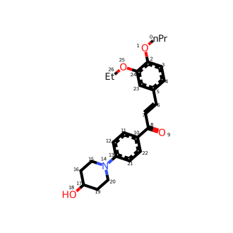 CCCOc1ccc(/C=C/C(=O)c2ccc(N3CCC(O)CC3)cc2)cc1OCC